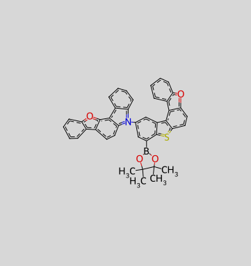 CC1(C)OB(c2cc(-n3c4ccccc4c4c5oc6ccccc6c5ccc43)cc3c2sc2ccc4oc5ccccc5c4c23)OC1(C)C